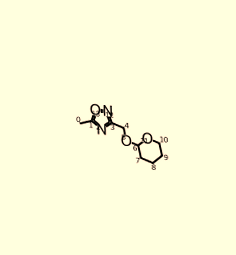 Cc1nc(COC2CCCCO2)no1